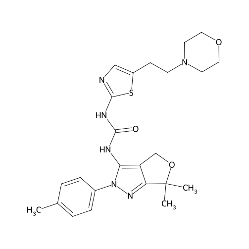 Cc1ccc(-n2nc3c(c2NC(=O)Nc2ncc(CCN4CCOCC4)s2)COC3(C)C)cc1